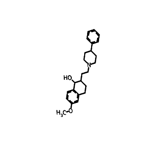 COc1ccc2c(c1)CCC(CCN1CCC(c3ccccc3)CC1)C2O